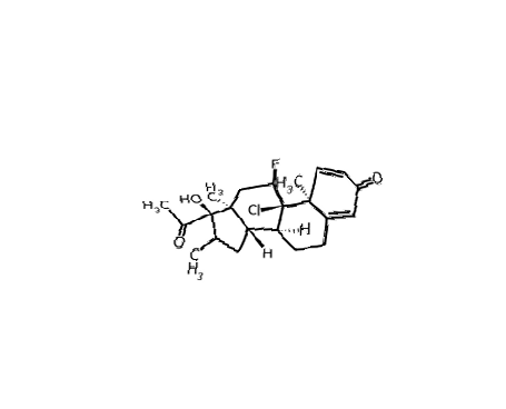 CC(=O)[C@@]1(O)C(C)C[C@H]2[C@@H]3CCC4=CC(=O)C=C[C@]4(C)[C@@]3(Cl)C(F)C[C@@]21C